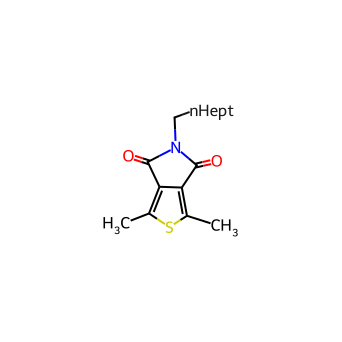 CCCCCCCCN1C(=O)c2c(C)sc(C)c2C1=O